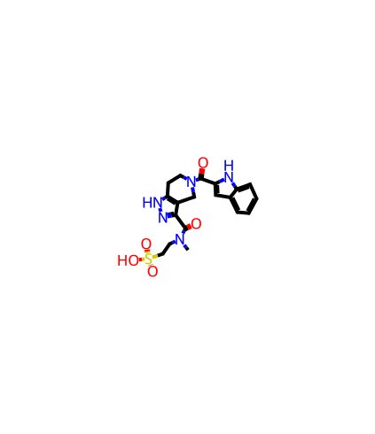 CN(CCS(=O)(=O)O)C(=O)c1n[nH]c2c1CN(C(=O)c1cc3ccccc3[nH]1)CC2